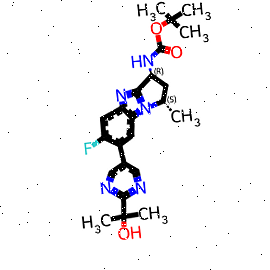 C[C@H]1C[C@@H](NC(=O)OC(C)(C)C)c2nc3cc(F)c(-c4cnc(C(C)(C)O)nc4)cc3n21